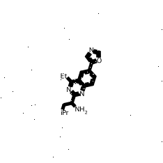 CCc1nc(C(N)CC(C)C)nc2ccc(-c3cnco3)cc12